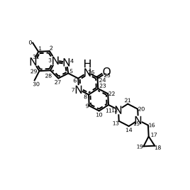 Cc1cn2nc(-c3nc4ccc(N5CCN(CC6CC6)CC5)cc4c(=O)[nH]3)cc2c(C)n1